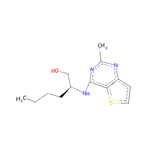 CCCC[C@@H](CO)Nc1nc(C)nc2ccsc12